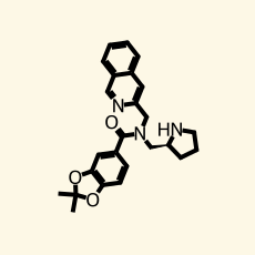 CC1(C)Oc2ccc(C(=O)N(Cc3cc4ccccc4cn3)C[C@@H]3CCCN3)cc2O1